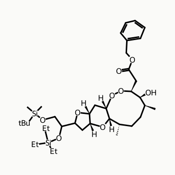 CC[Si](CC)(CC)OC(CO[Si](C)(C)C(C)(C)C)C1C[C@H]2O[C@@H]3[C@H](C[C@H]2O1)OO[C@@H](CC(=O)OCc1ccccc1)[C@@H](O)[C@@H](C)CC[C@@H]3C